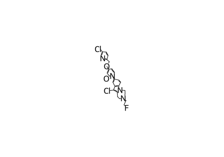 O=c1cc(OCc2ccc(Cl)cn2)ccn1-c1ccc2c(c1)c(Cl)c1n2CCN(CCF)CC1